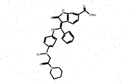 COC(=O)c1ccc2c(c1)NC(=O)/C2=C(\Nc1ccc(N(CC(=O)N2CCCCC2)C(C)=O)cc1)c1ccccc1